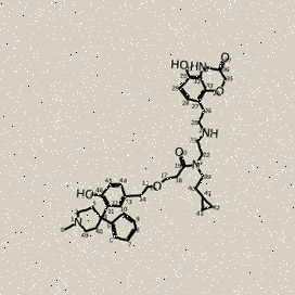 CN1CCC(c2ccccc2)(c2cc(CCOCCC(=O)N(CCNCCc3ccc(O)c4c3OCC(=O)N4)CCC3CC3)ccc2O)CC1